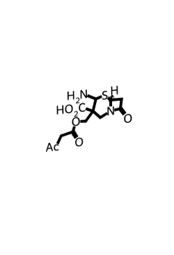 CC(=O)CC(=O)OCC1(C(=O)O)CN2C(=O)C[C@H]2SC1N